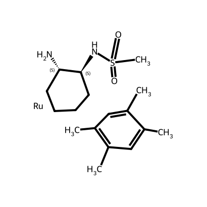 CS(=O)(=O)N[C@H]1CCCC[C@@H]1N.Cc1cc(C)c(C)cc1C.[Ru]